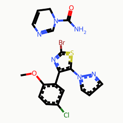 COc1ccc(Cl)cc1-c1nc(Br)sc1-n1cccn1.NC(=O)N1C=NC=CC1